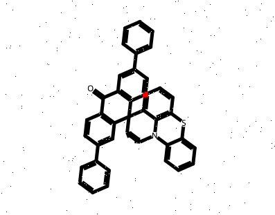 O=C1c2cc(-c3ccccc3)ccc2C2(c3cc(-c4ccccc4)ccc31)c1ccccc1N1c3ccccc3Sc3cccc2c31